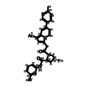 CC(=O)c1cc(CC(=O)N2C[C@H](F)C[C@H]2C(=O)Nc2cccc(Br)n2)n2ccc(-c3cnc(C)nc3)cc12